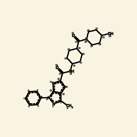 Cc1nn(-c2ccccc2)c2sc(C(=O)NC3CCC(C(=O)N4CCC(O)CC4)CC3)cc12